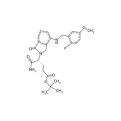 COc1ccc(F)c(CNc2cccc3c2CN([C@H](CCC(=O)OC(C)(C)C)C(N)=O)C3=O)c1